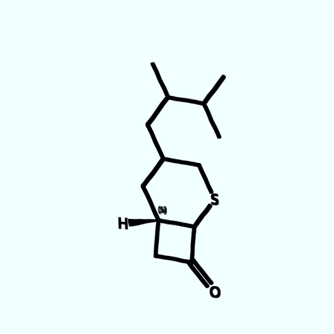 CC(C)C(C)CC1CSC2C(=O)C[C@@H]2C1